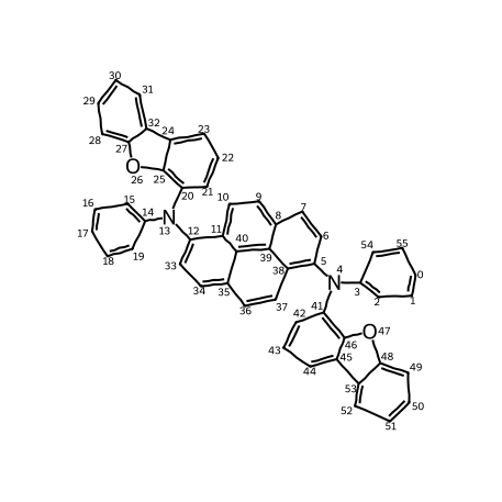 c1ccc(N(c2ccc3ccc4c(N(c5ccccc5)c5cccc6c5oc5ccccc56)ccc5ccc2c3c54)c2cccc3c2oc2ccccc23)cc1